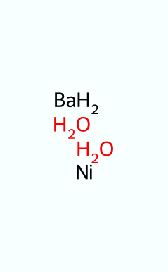 O.O.[BaH2].[Ni]